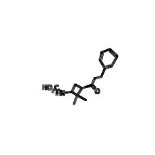 CC1(C)C(NC(=O)O)C[C@H]1C(=O)CCc1ccccc1